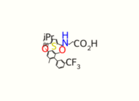 Cc1cc(O[C@H](CC(C)C)c2ccc(C(=O)NCCC(=O)O)s2)cc(C)c1-c1cccc(C(F)(F)F)c1